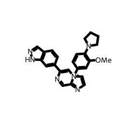 COc1cc([N+]23C=CN=C2C=NC(c2ccc4cn[nH]c4c2)=C3)ccc1N1CCCC1